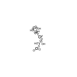 C/C(=C\c1ccc(O[C@H]2C[C@H](O)[C@@H](/C(=C/COc3ccc(Cl)cc3Cl)CO)O2)c(F)c1)C(=O)N[C@@H]1[C@H](O)[C@@H](O)[C@H]2OCO[C@H]2[C@@H]1O